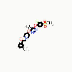 Cc1c(Oc2ccc(S(C)(=O)=O)cc2F)ncnc1OC1CCN(CC(=O)c2cccc(C(F)(F)F)c2)CC1